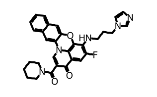 O=C(c1cn2c3c(c(NCCCn4ccnc4)c(F)cc3c1=O)Oc1cc3ccccc3cc1-2)N1CCCCC1